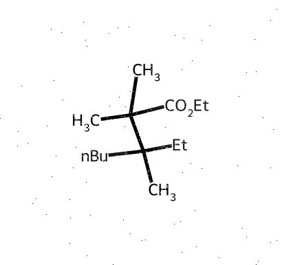 CCCCC(C)(CC)C(C)(C)C(=O)OCC